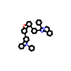 c1ccc(-c2c(-c3cccc(-c4cccc5oc6ccc(-c7ccc8c(c7)c7ccccc7n8-c7ccccc7)cc6c45)c3)nc3c4ccccc4ccn23)cc1